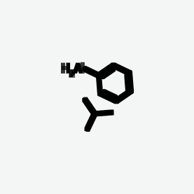 CC(C)C.[AlH2][c]1ccccc1